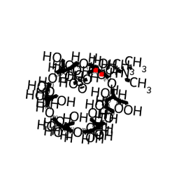 CCN(CC)CC.O=S(=O)(O)OC[C@H]1O[C@@H]2O[C@H]3[C@H](O)[C@@H](O)[C@@H](O[C@H]4[C@H](O)[C@@H](O)[C@@H](O[C@H]5[C@H](O)[C@@H](O)[C@@H](O[C@H]6[C@H](O)[C@@H](O)[C@@H](O[C@H]7[C@H](O)[C@@H](O)[C@@H](O[C@H]1[C@H](O)[C@H]2O)O[C@@H]7CO)O[C@@H]6CO)O[C@@H]5CO)O[C@@H]4CO)O[C@@H]3CO